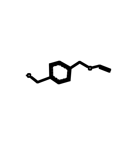 C=COCc1ccc(C[O])cc1